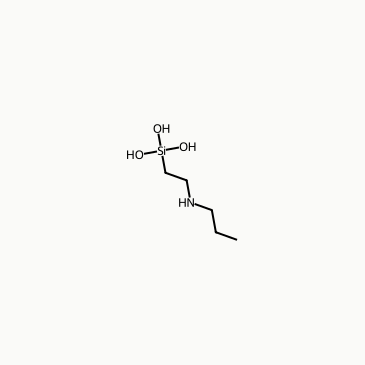 CCCNCC[Si](O)(O)O